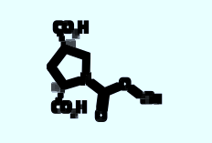 CC(C)(C)OC(=O)N1C[C@@H](C(=O)O)C[C@H]1C(=O)O